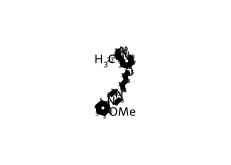 COc1ccccc1N1CCN(CCCCOc2ccn3ncc(C)c3c2)CC1